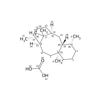 C[C@@H]1CCC[C@@]2(C)CC[C@H]3[C@H](C)CC[C@@H](C[C@H]12)C3(C)C.O=C(O)O